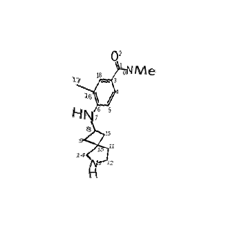 CNC(=O)c1ccc(NC2CC3(CCNC3)C2)c(C)c1